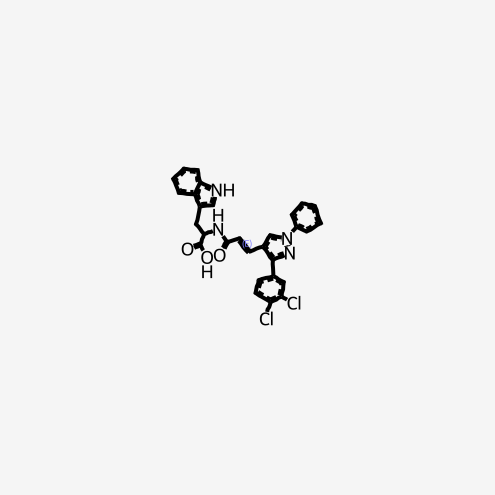 O=C(/C=C/c1cn(-c2ccccc2)nc1-c1ccc(Cl)c(Cl)c1)NC(Cc1c[nH]c2ccccc12)C(=O)O